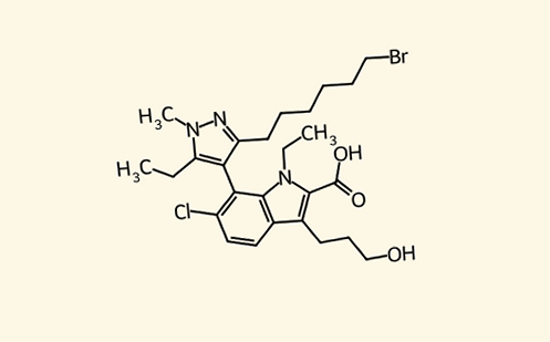 CCc1c(-c2c(Cl)ccc3c(CCCO)c(C(=O)O)n(CC)c23)c(CCCCCCBr)nn1C